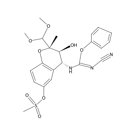 COC(OC)[C@@]1(C)Oc2ccc(OS(C)(=O)=O)cc2[C@@H](N/C(=N/C#N)Oc2ccccc2)[C@@H]1O